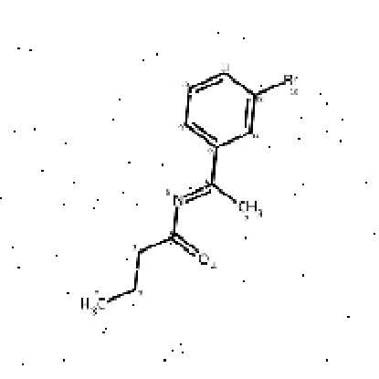 CCCC(=O)/N=C(\C)c1cccc(Br)c1